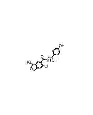 O=C(NCC(O)c1ccc(O)cc1)c1cc2c(cc1Cl)COB2O